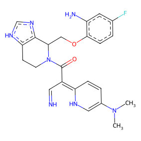 CN(C)C1=CN/C(=C(\C=N)C(=O)N2CCc3[nH]cnc3C2COc2ccc(F)cc2N)C=C1